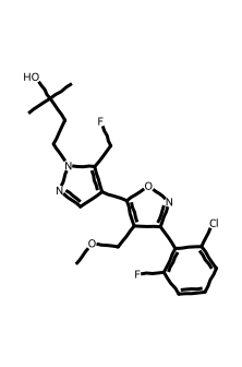 COCc1c(-c2c(F)cccc2Cl)noc1-c1cnn(CCC(C)(C)O)c1CF